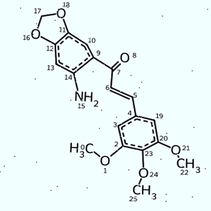 COc1cc(/C=C/C(=O)c2cc3c(cc2N)OCO3)cc(OC)c1OC